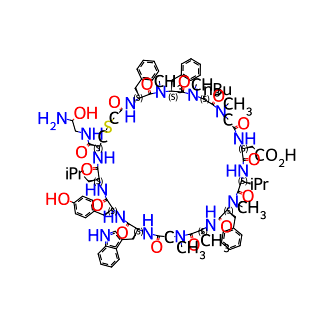 CCCC[C@H]1C(=O)N(C)CC(=O)N[C@@H](CC(=O)O)C(=O)N[C@@H](C(C)C)C(=O)N(C)[C@@H](Cc2ccccc2)C(=O)N[C@@H](C)C(=O)N(C)CC(=O)N[C@@H](Cc2c[nH]c3ccccc23)C(=O)N[C@@H](Cc2ccc(O)cc2)C(=O)N[C@@H](CC(C)C)C(=O)N[C@@H](C(=O)NCC(N)O)CSCC(=O)N[C@@H](Cc2ccccc2)C(=O)N(C)[C@@H](Cc2ccccc2)C(=O)N1C